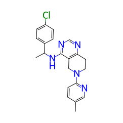 Cc1ccc(N2CCc3ncnc(NC(C)c4ccc(Cl)cc4)c3C2)nc1